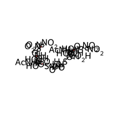 CC(=O)N[C@H]1[C@H]([C@H](O)[C@H](O)CNC(=O)c2ccc(-c3ccc([N+](=O)[O-])cc3[N+](=O)[O-])cc2)O[C@@](OCCCSCCNC(=O)c2ccc(C(=O)NCCSCCCO[C@]3(C(=O)O)C[C@H](O)[C@@H](NC(C)=O)[C@H]([C@H](O)[C@@H](O)CNC(=O)c4ccc(-c5ccc([N+](=O)[O-])cc5[N+](=O)[O-])c([N+](=O)[O-])c4)O3)cc2)(C(=O)O)C[C@@H]1O